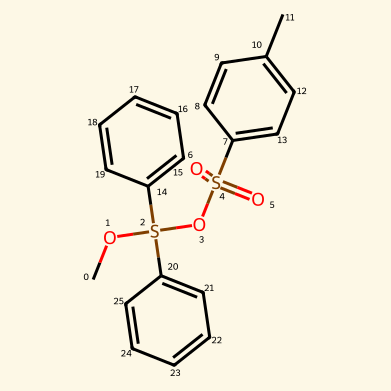 COS(OS(=O)(=O)c1ccc(C)cc1)(c1ccccc1)c1ccccc1